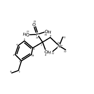 CCc1cccc(C(O)(C[N+](C)(C)C)P(=O)(O)O)c1